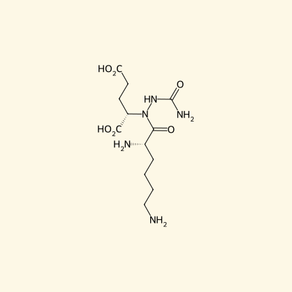 NCCCC[C@H](N)C(=O)N(NC(N)=O)[C@@H](CCC(=O)O)C(=O)O